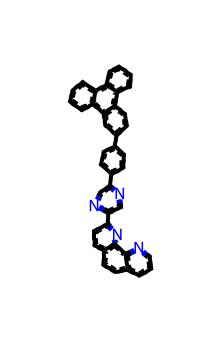 c1cnc2c(c1)ccc1ccc(-c3cnc(-c4ccc(-c5ccc6c7ccccc7c7ccccc7c6c5)cc4)cn3)nc12